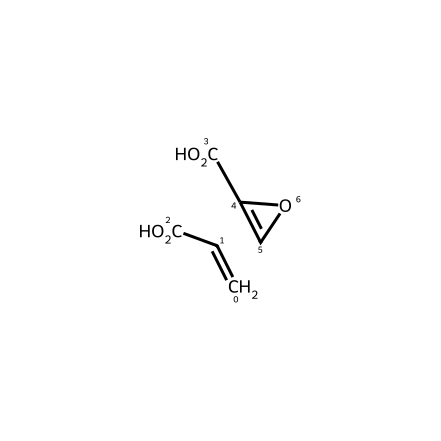 C=CC(=O)O.O=C(O)C1=CO1